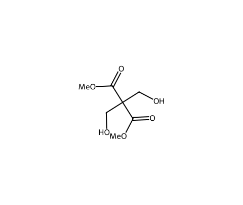 COC(=O)C(CO)(CO)C(=O)OC